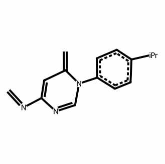 C=NC1=CC(=C)N(c2ccc(C(C)C)cc2)C=N1